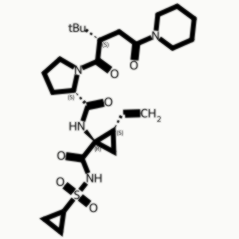 C=C[C@@H]1C[C@]1(NC(=O)[C@@H]1CCCN1C(=O)[C@@H](CC(=O)N1CCCCC1)C(C)(C)C)C(=O)NS(=O)(=O)C1CC1